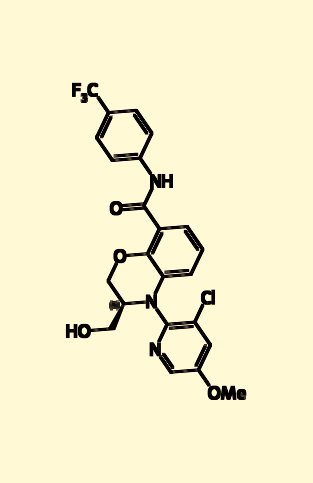 COc1cnc(N2c3cccc(C(=O)Nc4ccc(C(F)(F)F)cc4)c3OC[C@@H]2CO)c(Cl)c1